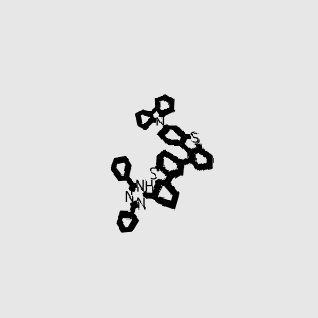 c1ccc(C2=NC(c3cccc4c3sc3ccc(-c5cccc6sc7cc(-n8c9ccccc9c9ccccc98)ccc7c56)cc34)NC(c3ccccc3)=N2)cc1